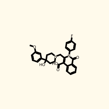 COc1cccc(C2(O)CCN(Cc3c(C(=O)O)c4ccccc4c(=O)n3-c3ccc(F)cc3)CC2)c1